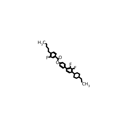 CCCCCc1ccc(C(=O)Oc2ccc(-c3ccc(C4CCC(CCC)CC4)c(F)c3F)cc2)cc1F